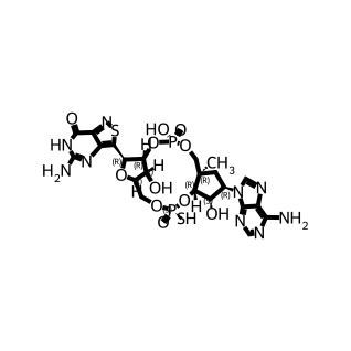 C[C@@]12COP(=O)(O)O[C@@H]3[C@H](O)[C@@H](CO[P@](=O)(S)O[C@H]1[C@@H](O)[C@H](n1cnc4c(N)ncnc41)C2)O[C@H]3c1snc2c(=O)[nH]c(N)nc12